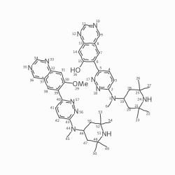 CN(c1ccc(-c2cc3cncnc3cc2O)nn1)C1CC(C)(C)NC(C)(C)C1.COc1cc2ncncc2cc1-c1ccc(N(C)C2CC(C)(C)NC(C)(C)C2)nn1